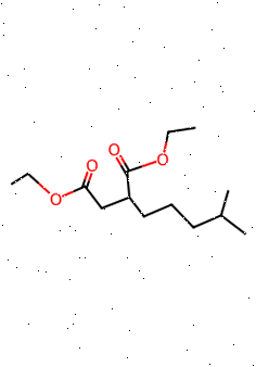 CCOC(=O)CC(CCCC(C)C)C(=O)OCC